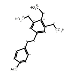 CC(=O)Oc1ccc(CCc2cc(CC(=O)O)c(CC(=O)O)c(CC(=O)O)c2)cc1